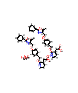 Cc1oc(-c2ccccc2)nc1COc1ccc(COc2ncccc2CC(=O)[O-])cc1.Cc1oc(-c2ccccc2)nc1COc1ccc(COc2ncccc2CC(=O)[O-])cc1.O.O.[Ca+2]